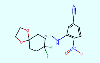 N#Cc1ccc([N+](=O)[O-])c(NC[C@H]2CC3(CCC2(F)F)OCCO3)c1